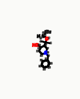 CC(C)(C)[SiH2]OC(C)(C)C1CN(Cc2ccccc2)CCC1O